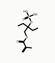 C=C(C)C(=O)OCC(CC)(CC)OP(=O)(O)O